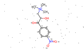 C[N+](C)(C)CC(O)C(=O)c1ccc([N+](=O)[O-])cc1